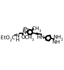 CCOC(=O)CNCC(=O)N(c1cc(C)c(C#CCNc2ccc(C(=N)N)cc2)cc1C)C(C)C